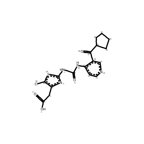 O=C(O)Cc1nc(NC(=O)Nc2ccncc2C(=O)C2CCCC2)sc1Cl